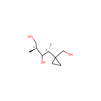 C[C@@H](CO)C(O)[C@H](C)C1(CO)CC1